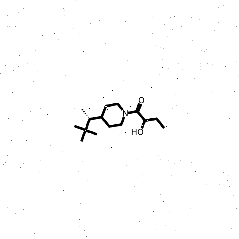 CCC(O)C(=O)N1CCC([C@@H](C)C(C)(C)C)CC1